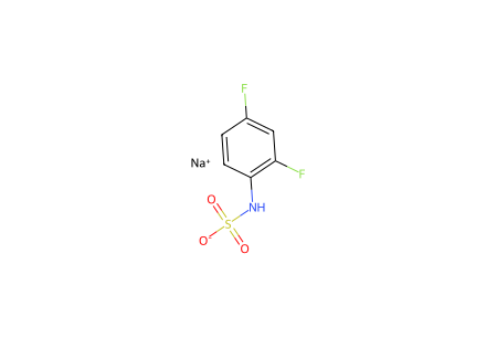 O=S(=O)([O-])Nc1ccc(F)cc1F.[Na+]